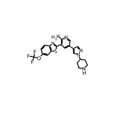 Nc1ncc(-c2cnn(C3CCNCC3)c2)cc1-c1nc2ccc(OC(F)(F)F)cc2s1